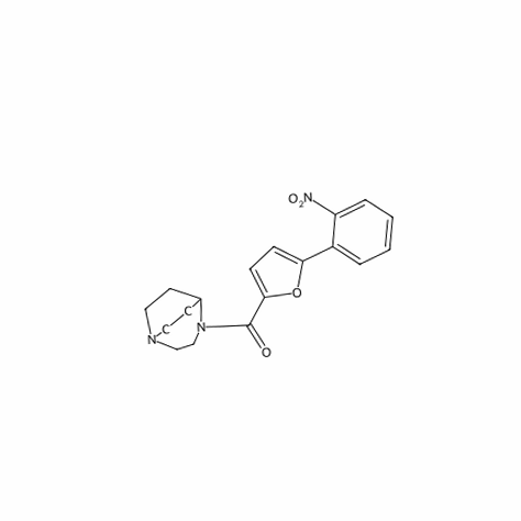 O=C(c1ccc(-c2ccccc2[N+](=O)[O-])o1)N1CCN2CCC1CC2